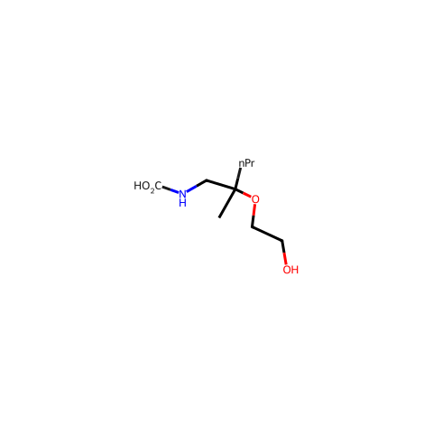 CCCC(C)(CNC(=O)O)OCCO